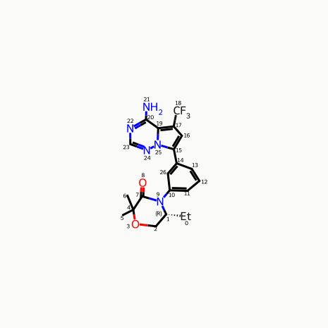 CC[C@@H]1COC(C)(C)C(=O)N1c1cccc(-c2cc(C(F)(F)F)c3c(N)ncnn23)c1